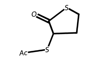 CC(=O)SC1CCSC1=O